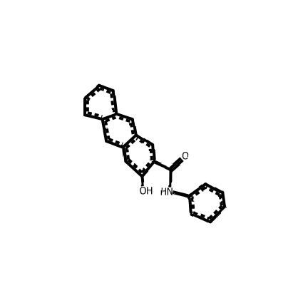 O=C(Nc1ccccc1)c1cc2cc3ccccc3cc2cc1O